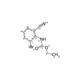 CCOC(=O)Nc1c(Br)cccc1C#N